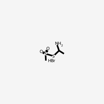 Br.CC(N)SS(C)(=O)=O